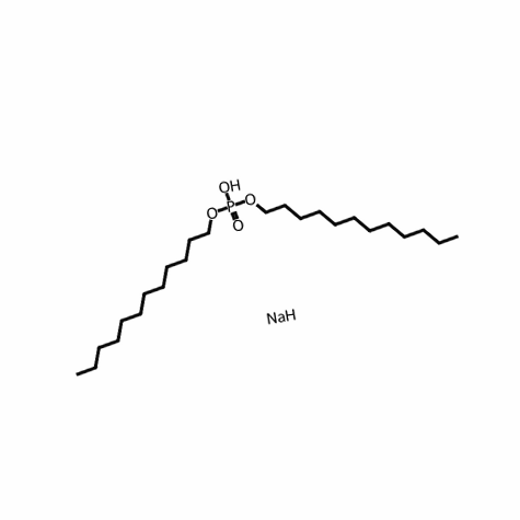 CCCCCCCCCCCCOP(=O)(O)OCCCCCCCCCCCC.[NaH]